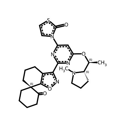 C[C@H](Oc1cc(-n2ccsc2=O)nc(-c2noc3c2CCC[C@@]32CCCCC2=O)n1)[C@@H]1CCCN1C